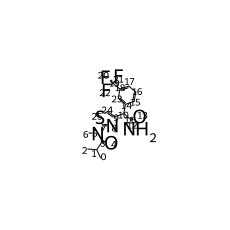 CC(C)C(=O)N(C)c1nc(C(C(N)=O)c2cccc(C(F)(F)F)c2)cs1